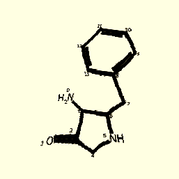 NC1C(=O)CNC1Cc1ccccc1